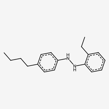 CCCCc1ccc(NNc2ccccc2CC)cc1